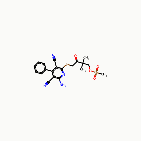 CC(C)(COS(C)(=O)=O)C(=O)CSc1nc(N)c(C#N)c(-c2ccccc2)c1C#N